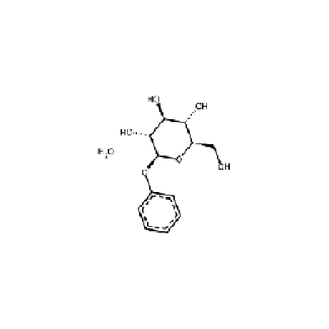 O.OC[C@H]1O[C@@H](Oc2ccccc2)[C@H](O)[C@@H](O)[C@@H]1O